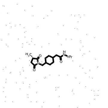 CCCNC(=O)CC1CCC(CN2C(=O)C[C@H](C)C2=O)CC1